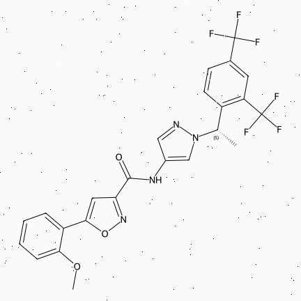 COc1ccccc1-c1cc(C(=O)Nc2cnn([C@@H](C)c3ccc(C(F)(F)F)cc3C(F)(F)F)c2)no1